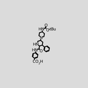 CC(C)(C)OC(=O)NC1CCN(C2CNC(C(=O)Nc3ccc(C(=O)O)cc3)C(c3ccccc3)C2)CC1